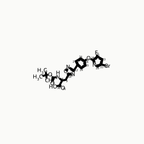 CC(C)(C)OC(=O)NC(Cc1nc(-c2ccc(Oc3ncc(Br)cc3F)cc2)no1)C(=O)O